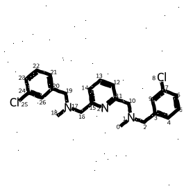 CN(Cc1cccc(Cl)c1)Cc1cccc(CN(C)Cc2cccc(Cl)c2)n1